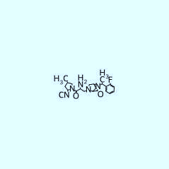 CC1CC(C#N)N(C(=O)C(N)CN2CC3CC2C(=O)N3C(C)c2ccccc2F)C1